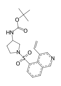 C=Cc1cncc2cccc(S(=O)(=O)N3CCC(NC(=O)OC(C)(C)C)C3)c12